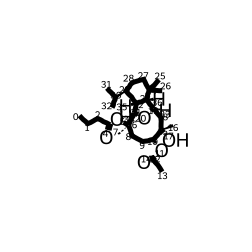 CCCC(=O)O[C@]1(C)CC[C@H](OC(C)=O)[C@@](C)(O)C[C@H]2O[C@@H]1[C@H]1[C@@H]2C(C)(C)CC[C@@H]1C(C)C